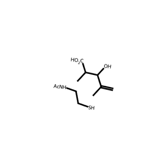 C=C(C)C(O)C(C)C(=O)O.CC(=O)NCCS